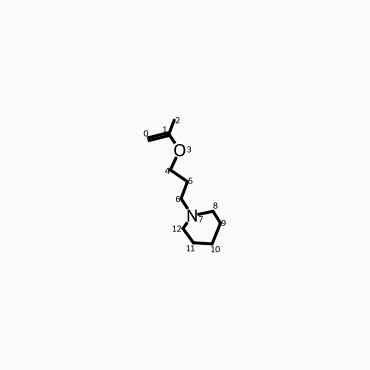 C=C(C)OCCCN1CCCCC1